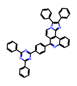 c1ccc(-c2nc(-c3ccccc3)nc(-c3ccc(-c4nc5ccccc5c5c4ccn4c(-c6ccccc6)c(-c6ccccc6)nc54)cc3)n2)cc1